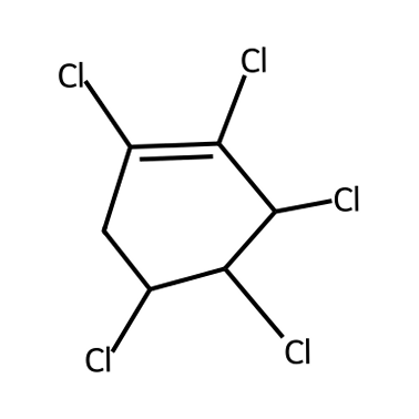 ClC1=C(Cl)C(Cl)C(Cl)C(Cl)C1